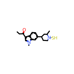 CCC(=O)c1cn(C)c2cc(C3CCN(S)C(C)C3)ccc12